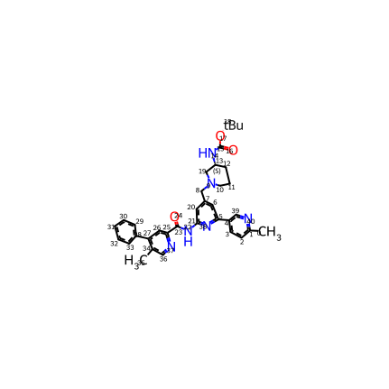 Cc1ccc(-c2cc(CN3CCC[C@H](NC(=O)OC(C)(C)C)C3)cc(NC(=O)c3cc(-c4ccccc4)c(C)cn3)n2)cn1